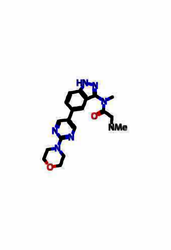 CNCC(=O)N(C)c1n[nH]c2ccc(-c3cnc(N4CCOCC4)nc3)cc12